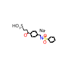 O=C(CCS(=O)(=O)O)c1ccc(C=NS(=O)(=O)c2ccccc2)cc1.[Na]